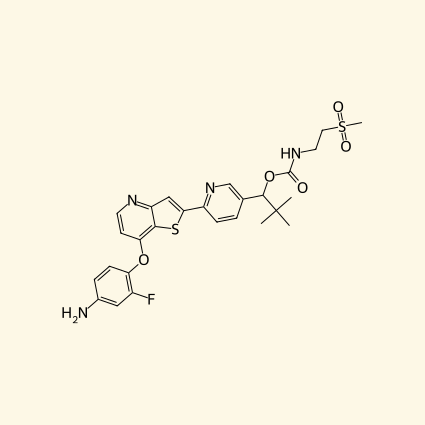 CC(C)(C)C(OC(=O)NCCS(C)(=O)=O)c1ccc(-c2cc3nccc(Oc4ccc(N)cc4F)c3s2)nc1